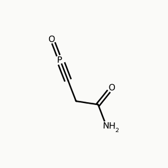 NC(=O)CC#P=O